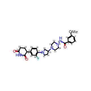 COc1cccc(C(=O)NN2CCN(C3CCN(c4ccc(C5CCC(=O)NC5=O)cc4F)C3)CC2)c1